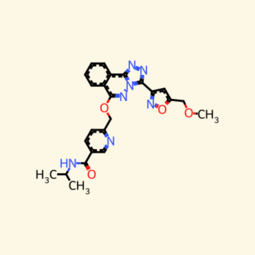 COCc1cc(-c2nnc3c4ccccc4c(OCc4ccc(C(=O)NC(C)C)cn4)nn23)no1